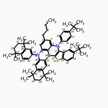 CCCCc1cc2c3c(c1)N(c1ccc(C(C)(C)C)cc1)c1c(sc4ccc(C(C)(C)C)cc14)B3c1cc3c(cc1N2c1ccc2c(c1)C(C)(C)CCC2(C)C)C(C)(C)CCC3(C)C